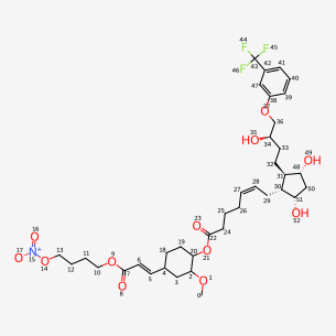 COC1CC(/C=C/C(=O)OCCCCO[N+](=O)[O-])CCC1OC(=O)CCC/C=C\C[C@@H]1[C@@H](CC[C@@H](O)COc2cccc(C(F)(F)F)c2)[C@H](O)C[C@@H]1O